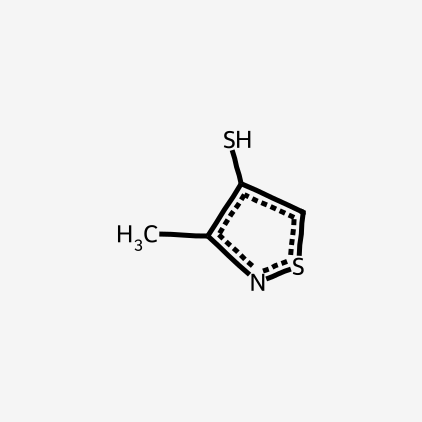 Cc1nscc1S